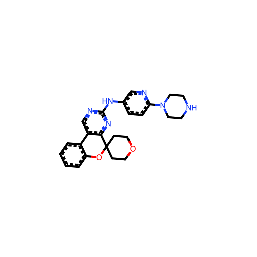 c1ccc2c(c1)OC1(CCOCC1)c1nc(Nc3ccc(N4CCNCC4)nc3)ncc1-2